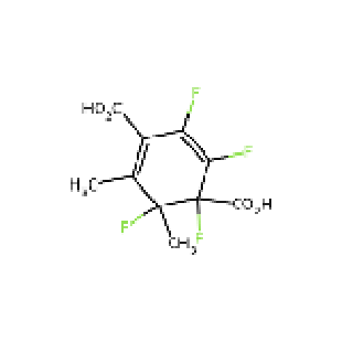 CC1=C(C(=O)O)C(F)=C(F)C(F)(C(=O)O)C1(C)F